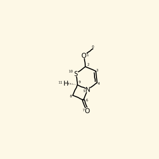 COC1C=CN2C(=O)C[C@H]2S1